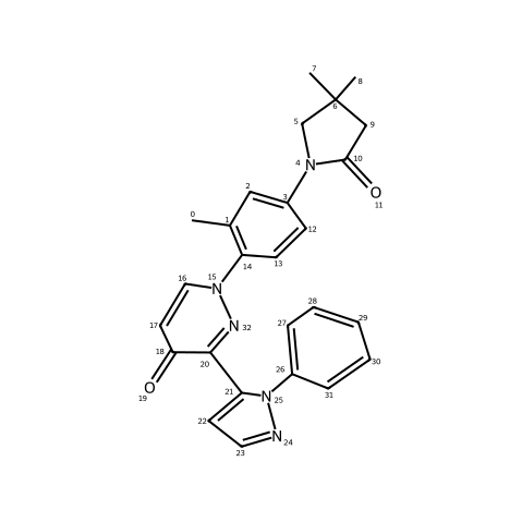 Cc1cc(N2CC(C)(C)CC2=O)ccc1-n1ccc(=O)c(-c2ccnn2-c2ccccc2)n1